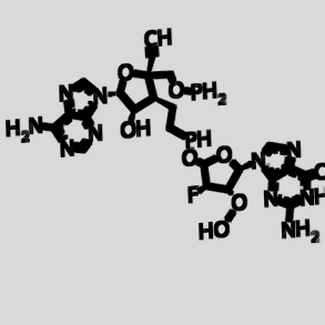 C#C[C@]1(COP)O[C@@H](n2cnc3c(N)ncnc32)[C@H](O)[C@@H]1CCPOC1O[C@@H](n2cnc3c(=O)[nH]c(N)nc32)[C@H](OO)[C@H]1F